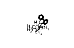 CC(c1ccccc1-c1ccccc1)N(C)CCN(C)C(C)(C)C